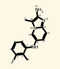 Cc1c(F)cccc1Nc1ccc2nc(N)c(C)n2c1